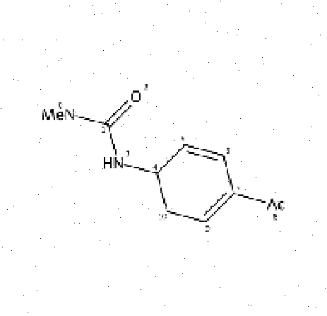 CNC(=O)NC1C=CC(C(C)=O)=CC1